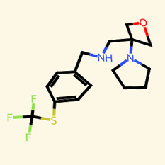 FC(F)(F)Sc1ccc(CNCC2(N3CCCC3)COC2)cc1